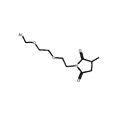 CC(=O)COCCOCCN1C(=O)CC(C)C1=O